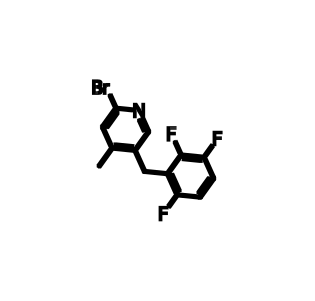 Cc1cc(Br)ncc1Cc1c(F)ccc(F)c1F